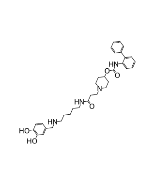 O=C(CCN1CCC(OC(=O)Nc2ccccc2-c2ccccc2)CC1)NCCCCCNCc1ccc(O)c(O)c1